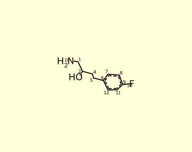 NCC(O)CCc1ccc(F)cc1